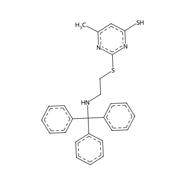 Cc1cc(S)nc(SCCNC(c2ccccc2)(c2ccccc2)c2ccccc2)n1